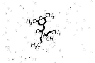 CCCN(C(=O)CC1CC(C)OC(C)C1)C(C)CC